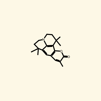 Cc1cc2cc3c4c(c2oc1=O)C(C)(C)CCN4CCC3(C)C